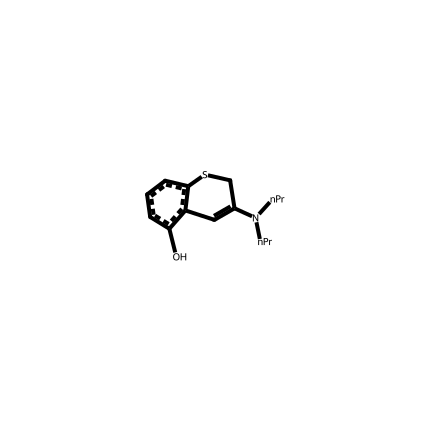 CCCN(CCC)C1=Cc2c(O)cccc2SC1